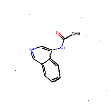 CNC(=O)Nc1cncc2ccccc12